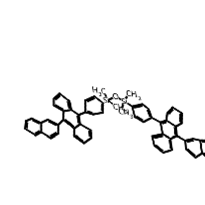 C[Si](C)(O[Si](C)(C)c1ccc(-c2c3ccccc3c(-c3ccc4ccccc4c3)c3ccccc23)cc1)c1ccc(-c2c3ccccc3c(-c3ccc4ccccc4c3)c3ccccc23)cc1